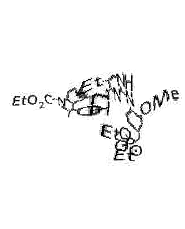 CCOC(=O)Cn1cc(C)c(=O)c2c(Nc3nc(Nc4ccc(CP(=O)(OCC)OCC)cc4OC)ncc3CC)cccc21